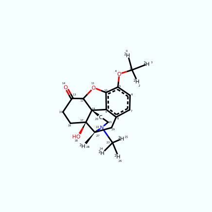 [2H]C([2H])([2H])Oc1ccc2c3c1OC1C(=O)CC[C@]4(O)[C@@]31CCN(C([2H])([2H])[2H])[C@]4([2H])C2